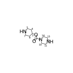 O=C(OC1CCNCC1)N1CCNCC1